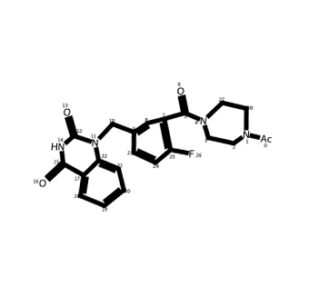 CC(=O)N1CCN(C(=O)c2cc(Cn3c(=O)[nH]c(=O)c4ccccc43)ccc2F)CC1